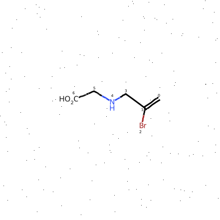 C=C(Br)CNCC(=O)O